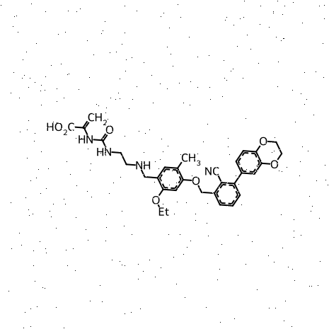 C=C(NC(=O)NCCNCc1cc(C)c(OCc2cccc(-c3ccc4c(c3)OCCO4)c2C#N)cc1OCC)C(=O)O